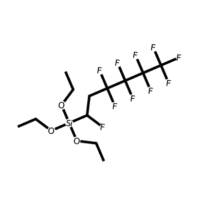 CCO[Si](OCC)(OCC)C(F)CC(F)(F)C(F)(F)C(F)(F)C(F)(F)F